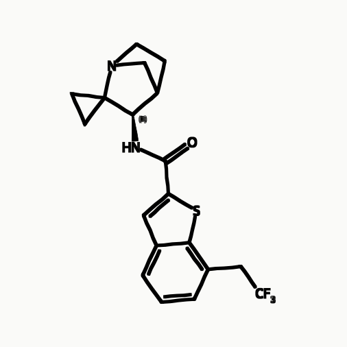 O=C(N[C@@H]1C2CCN(C2)C12CC2)c1cc2cccc(CC(F)(F)F)c2s1